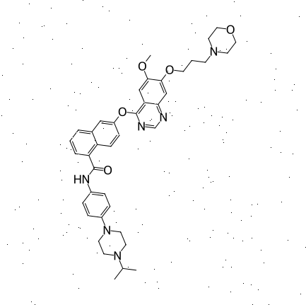 COc1cc2c(Oc3ccc4c(C(=O)Nc5ccc(N6CCN(C(C)C)CC6)cc5)cccc4c3)ncnc2cc1OCCCN1CCOCC1